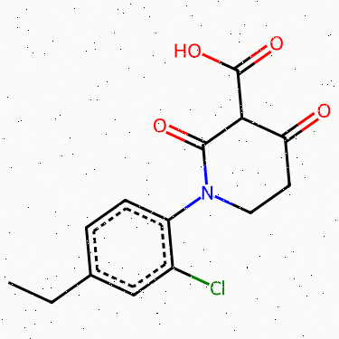 CCc1ccc(N2CCC(=O)C(C(=O)O)C2=O)c(Cl)c1